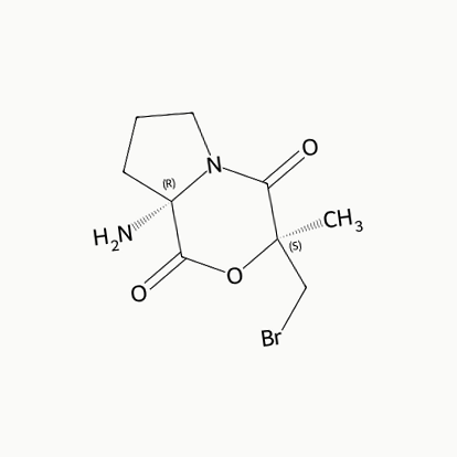 C[C@]1(CBr)OC(=O)[C@@]2(N)CCCN2C1=O